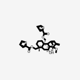 C=C1C=C2C[C@]3(C2[C@]2(COC(=O)c4cccs4)CCC[C@@](C)(COC(=O)c4cccs4)C2C[C@H]3O)[C@H]1OC